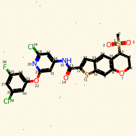 CS(=O)(=O)C1CCOc2cc3sc(C(=O)Nc4cc(Cl)nc(Oc5cc(F)cc(Cl)c5)c4)cc3cc21